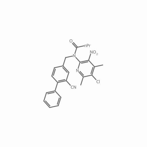 CCCC(=O)N(Cc1ccc(-c2ccccc2)c(C#N)c1)c1nc(C)c(Cl)c(C)c1[N+](=O)[O-]